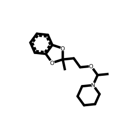 CC(OCCC1(C)Oc2ccccc2O1)N1CCCCC1